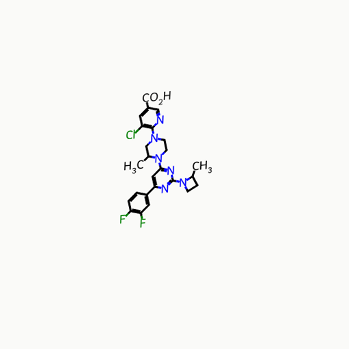 CC1CN(c2ncc(C(=O)O)cc2Cl)CCN1c1cc(-c2ccc(F)c(F)c2)nc(N2CCC2C)n1